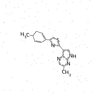 Cc1cnc2c(-c3nc(C4=CCC(C)C=C4)cs3)c[nH]c2n1